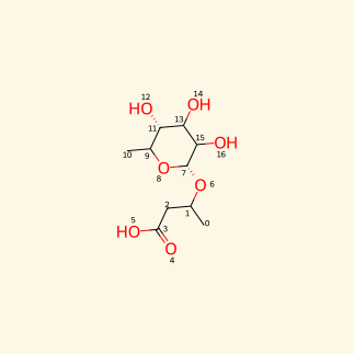 CC(CC(=O)O)O[C@@H]1OC(C)[C@H](O)C(O)C1O